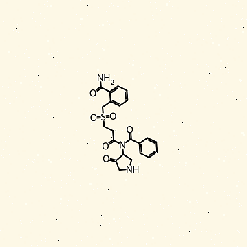 NC(=O)c1ccccc1CS(=O)(=O)C[CH]C(=O)N(C(=O)c1ccccc1)C1CNCC1=O